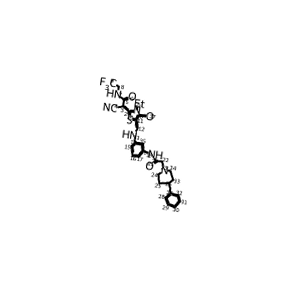 CCn1c(=C(C#N)C(=O)NCC(F)(F)F)sc(=CNc2cccc(NC(=O)CN3CCC(c4ccccc4)CC3)c2)c1=O